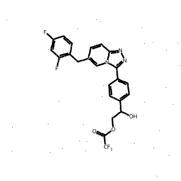 O=C(OCC(O)c1ccc(-c2nnc3ccc(Cc4ccc(F)cc4F)cn23)cc1)C(F)(F)F